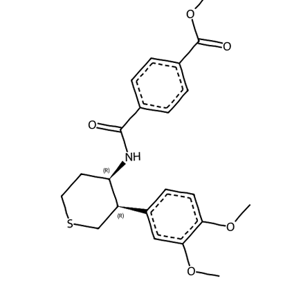 COC(=O)c1ccc(C(=O)N[C@@H]2CCSC[C@@H]2c2ccc(OC)c(OC)c2)cc1